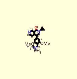 COc1cc(-c2cn(C3CC3)c(=O)c3cnccc23)cc(OC)c1CN(C)C